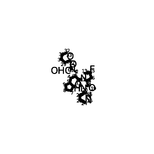 O=CN(C[C@@H](CC1CCCC1)C(=O)N1C[C@H](F)C[C@H]1C(=O)Nc1cccnn1)OC1CCCCO1